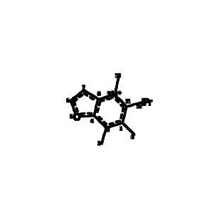 Cc1c(C)c2occc2[n+](C)c1C(C)C